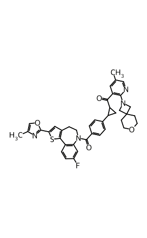 Cc1cnc(N2CC3(CCOCC3)C2)c(C(=O)C2CC2c2ccc(C(=O)N3CCc4cc(-c5nc(C)co5)sc4-c4ccc(F)cc43)cc2)c1